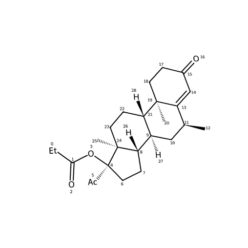 CCC(=O)O[C@]1(C(C)=O)CC[C@H]2[C@@H]3C[C@H](C)C4=CC(=O)CC[C@]4(C)[C@H]3CC[C@@]21C